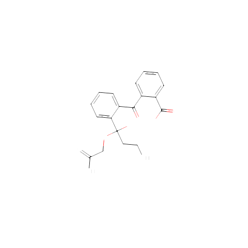 C=C(C)COC(O)(CCC)c1ccccc1C(=O)c1ccccc1C(=O)O